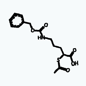 CC(=O)SC(CCCNC(=O)OCc1ccccc1)C(=O)O